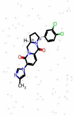 Cc1cn(-c2ccc3n(c2=O)C[C@H]2CC[C@H](c4ccc(Cl)c(Cl)c4)N2C3=O)cn1